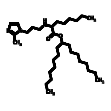 CCCCCCCCC(CCCCCCCC)OC(=O)C(CCCCCC)NCCCn1ccnc1C